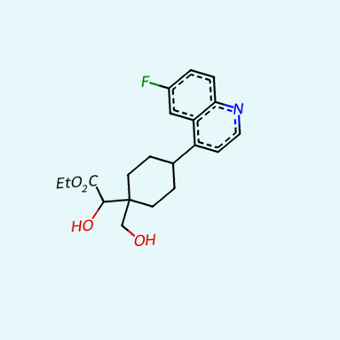 CCOC(=O)C(O)C1(CO)CCC(c2ccnc3ccc(F)cc23)CC1